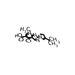 CCn1cc(C(=O)O)c(=O)c2cnc(N3CCC(C(C)C)C3)nc21